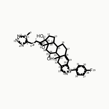 Cn1nnnc1SCC(=O)[C@@]1(O)CCC2C3CCC4=Cc5c(cnn5-c5ccc(F)cc5)CC4(C)C3[C@@H](O)CC21C